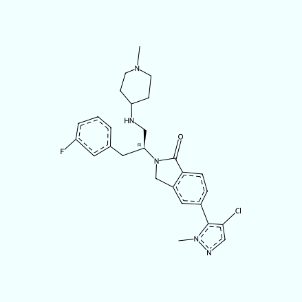 CN1CCC(NC[C@H](Cc2cccc(F)c2)N2Cc3cc(-c4c(Cl)cnn4C)ccc3C2=O)CC1